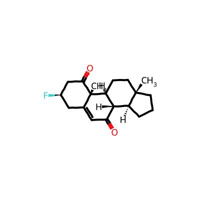 C[C@@]12CCC[C@H]1[C@@H]1C(=O)C=C3C[C@@H](F)CC(=O)[C@]3(C)[C@H]1CC2